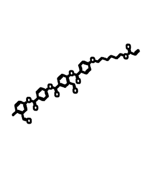 C=CC(=O)OCCCCCCOc1ccc(C(=O)Oc2ccc(C(=O)Oc3ccc(C(=O)Oc4ccc(C)c(C=O)c4)cc3)cc2C=O)cc1